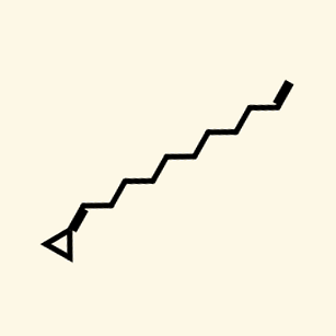 C=CCCCCCCCCC=C1CC1